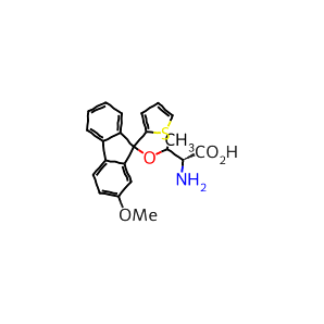 COc1ccc2c(c1)C(OC(C)[C@H](N)C(=O)O)(c1cccs1)c1ccccc1-2